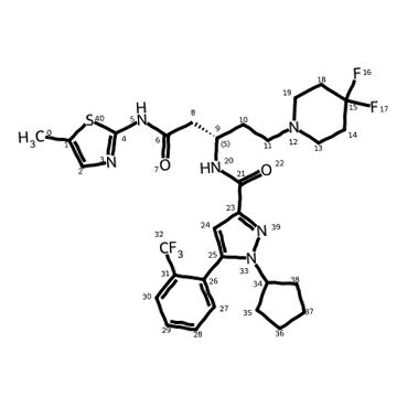 Cc1cnc(NC(=O)C[C@H](CCN2CCC(F)(F)CC2)NC(=O)c2cc(-c3ccccc3C(F)(F)F)n(C3CCCC3)n2)s1